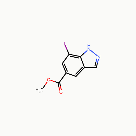 COC(=O)c1cc(I)c2[nH]ncc2c1